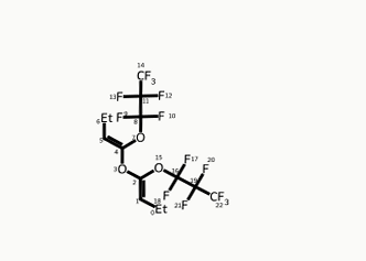 CCC=C(OC(=CCC)OC(F)(F)C(F)(F)C(F)(F)F)OC(F)(F)C(F)(F)C(F)(F)F